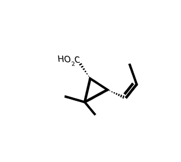 C/C=C\[C@H]1[C@@H](C(=O)O)C1(C)C